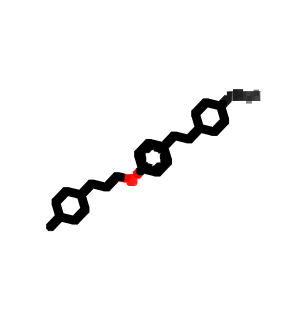 CCCCCCCC1CCC(CCc2ccc(OCCCC3CCC(C)CC3)cc2)CC1